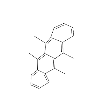 Cc1c2ccccc2c(C)c2c(C)c3ccccc3c(C)c12